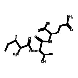 CC[C@H](C)[C@H](N)C(=O)N[C@H](C(=O)N[C@@H](CCC(N)=O)C(=O)O)[C@@H](C)O